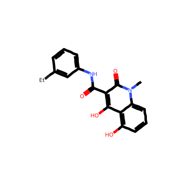 CCc1cccc(NC(=O)c2c(O)c3c(O)cccc3n(C)c2=O)c1